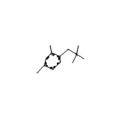 CCC(C)(C)Cc1ccc(Cl)cc1F